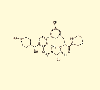 CC(C)C(C(=O)NC(Cc1cc(O)cc(-c2ccc(C(=N)C3CCN(C)CC3)c(N)c2)c1)C(=O)N1CCCCN1)N(C)C